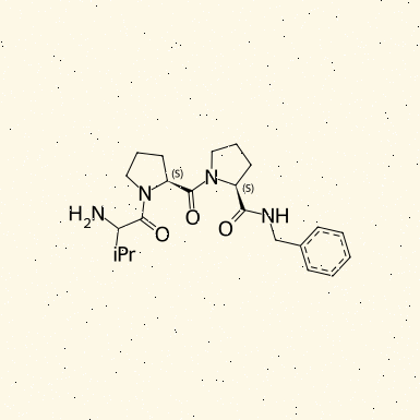 CC(C)C(N)C(=O)N1CCC[C@H]1C(=O)N1CCC[C@H]1C(=O)NCc1ccccc1